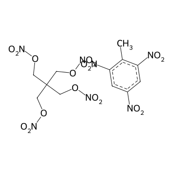 Cc1c([N+](=O)[O-])cc([N+](=O)[O-])cc1[N+](=O)[O-].O=[N+]([O-])OCC(CO[N+](=O)[O-])(CO[N+](=O)[O-])CO[N+](=O)[O-]